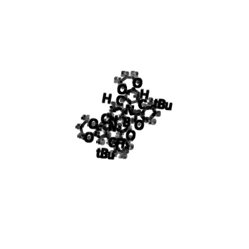 Cc1cc2c(c(C)c1N1c3cccc4c3B(c3oc5ccc(C(C)(C)C)cc5c31)c1oc3ccc(C(C)(C)C)cc3c1N4c1c(C)cc3c(c1C)OCCCO3)OCCCO2